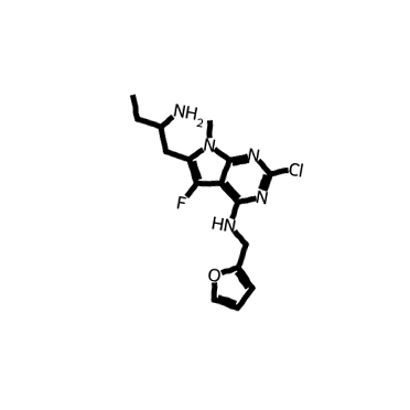 CCC(N)Cc1c(F)c2c(NCc3ccco3)nc(Cl)nc2n1C